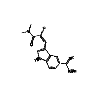 CNC(=N)c1ccc2[nH]cc(/C=C(/F)C(=O)N(C)C)c2c1